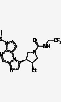 CC[C@@H]1CN(C(=O)NCC(F)(F)F)C[C@@H]1c1cnc2cnc3c(ccn3SI)n12